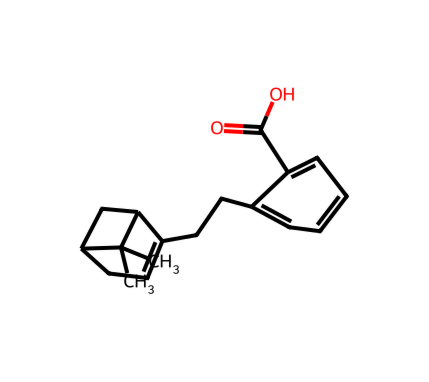 CC1(C)C2CC=C(CCc3ccccc3C(=O)O)C1C2